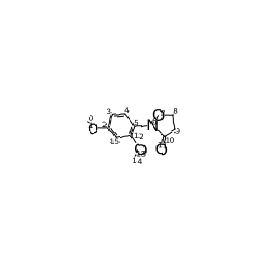 COc1ccc(N2OC[CH]C2=O)c(OC)c1